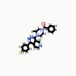 CC1CN(C(=O)c2ccccc2)CCN1c1nnc(-c2ccc(F)cc2)c2ccncc12